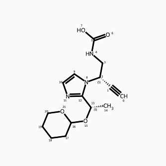 C#C[C@@H](CNC(=O)O)n1ccnc1[C@H](C)OC1CCCCO1